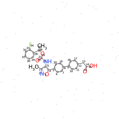 Cc1noc(-c2ccc(-c3ccc(CC(=O)O)cc3)cc2)c1NC(=O)O[C@@H](C)c1ccccc1F